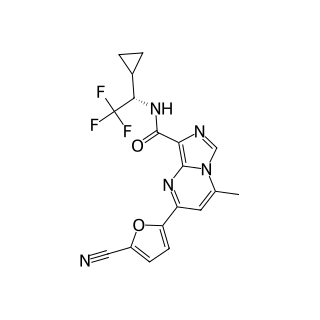 Cc1cc(-c2ccc(C#N)o2)nc2c(C(=O)N[C@@H](C3CC3)C(F)(F)F)ncn12